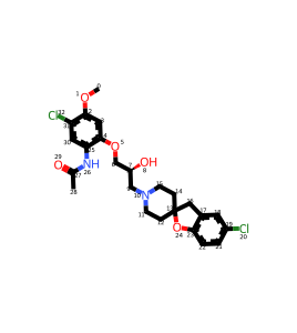 COc1cc(OC[C@@H](O)CN2CCC3(CC2)Cc2cc(Cl)ccc2O3)c(NC(C)=O)cc1Cl